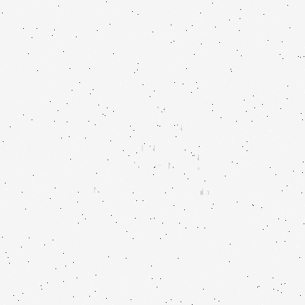 Cc1cc(Nc2cc(N[C@H](CC(C)C)C(N)=O)cnc2C(N)=O)nc(-c2ccncc2)c1